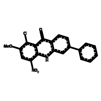 COc1cc([N+](=O)[O-])c2[nH]c3cc(-c4ccccc4)ccc3c(=O)c2c1Cl